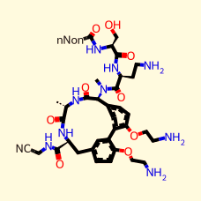 CCCCCCCCCC(=O)N[C@@H](CO)C(=O)N[C@@H](CCN)C(=O)N(C)[C@@H]1C(=O)N[C@@H](C)C(=O)N[C@H](C(=O)NCC#N)Cc2ccc(OCCN)c(c2)-c2cc1ccc2OCCN